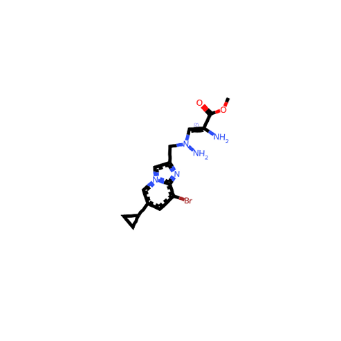 COC(=O)/C(N)=C/N(N)Cc1cn2cc(C3CC3)cc(Br)c2n1